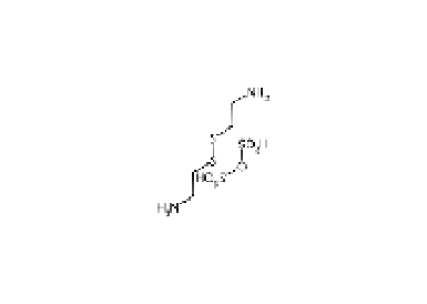 NCCSSCCN.O=S(=O)(O)OS(=O)(=O)O